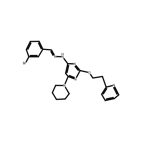 Brc1cccc(/C=N/Nc2cc(N3CCCCC3)nc(OCCc3ccccn3)n2)c1